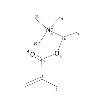 C=C(C)C(=O)OC(C)[N+](C)(C)C